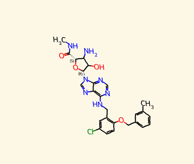 CNC(=O)[C@H]1O[C@@H](n2cnc3c(NCc4cc(Cl)ccc4OCc4cccc(C)c4)ncnc32)C(O)C1N